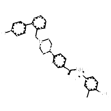 Cc1cc(S(=O)(=O)NC(=O)c2ccc(C3CCN(Cc4ccccc4-c4ccc(Cl)cc4)CC3)cc2)ccc1N